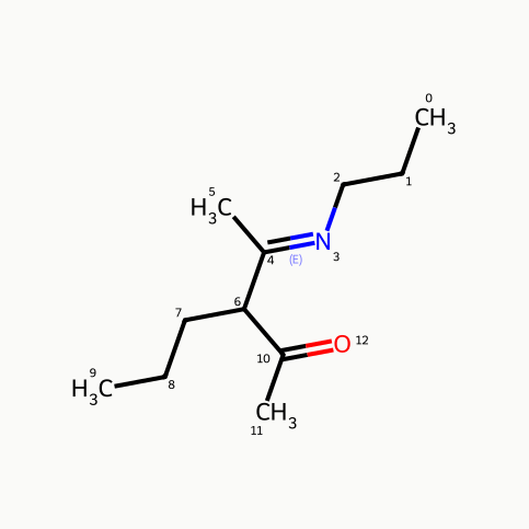 CCC/N=C(\C)C(CCC)C(C)=O